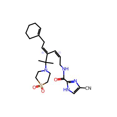 CC(C)(C(/C=C\CNC(=O)c1nc(C#N)c[nH]1)=C/CC1=CCCCC1)N1CCS(=O)(=O)CC1